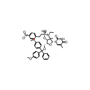 CCN(CC)[PH](O)(CCc1ccc([N+](=O)[O-])cc1)O[C@H]1C[C@H](n2cc(C)c(=O)[nH]c2=O)O[C@@H]1COC(c1ccccc1)(c1ccc(OC)cc1)c1ccc(OC)cc1